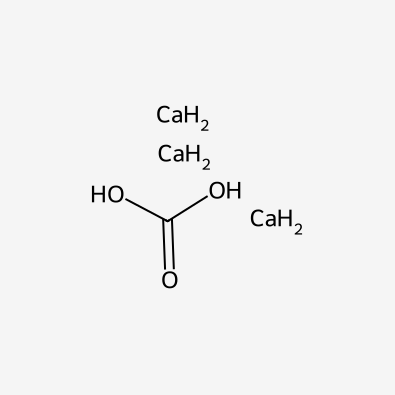 O=C(O)O.[CaH2].[CaH2].[CaH2]